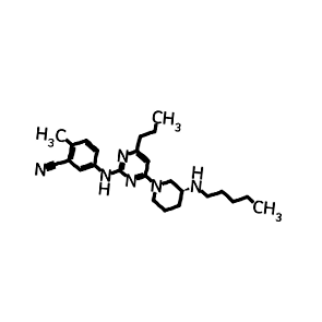 CCCCCN[C@@H]1CCCN(c2cc(CCC)nc(Nc3ccc(C)c(C#N)c3)n2)C1